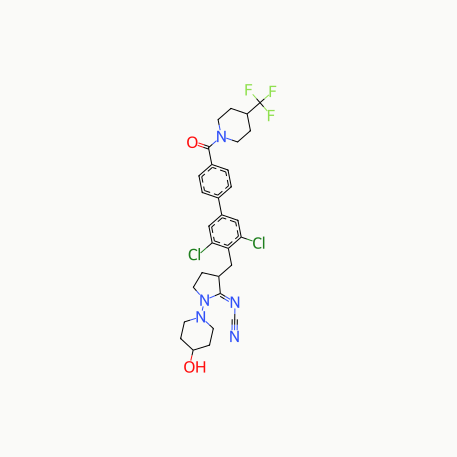 N#CN=C1C(Cc2c(Cl)cc(-c3ccc(C(=O)N4CCC(C(F)(F)F)CC4)cc3)cc2Cl)CCN1N1CCC(O)CC1